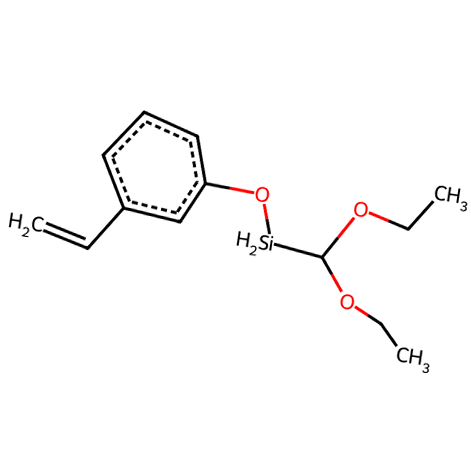 C=Cc1cccc(O[SiH2]C(OCC)OCC)c1